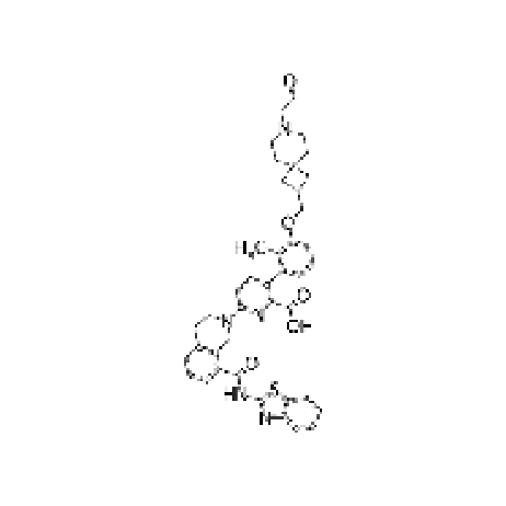 Cc1c(OCC2CC3(CCN(CC=O)CC3)C2)cccc1-c1ccc(N2CCc3cccc(C(=O)Nc4nc5ccccc5s4)c3C2)nc1C(=O)O